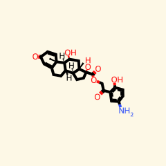 C[C@]12C=CC(=O)C=C1CC[C@@H]1[C@@H]2[C@@H](O)C[C@@]2(C)[C@H]1CC[C@]2(O)C(=O)OCC(=O)c1cc(N)ccc1O